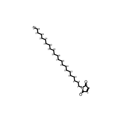 O=C1C=CC(=O)N1CCCCCCCCCCCCCCCCCCCCCC[S]